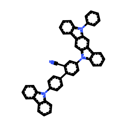 N#Cc1cc(-n2c3ccccc3c3cc4c(cc32)c2ccccc2n4-c2ccccc2)ccc1-c1ccc(-n2c3ccccc3c3ccccc32)cc1